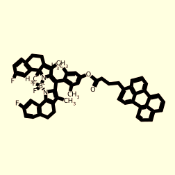 CC1=C2CCc3ccc(F)cc3C2(C)N2C1=C(c1c(C)cc(OC(=O)CCCc3ccc4c5cccc6cccc(c7cccc3c74)c65)cc1C)c1c(C)c3c(n1[B-]2(F)F)-c1cc(F)ccc1CC3